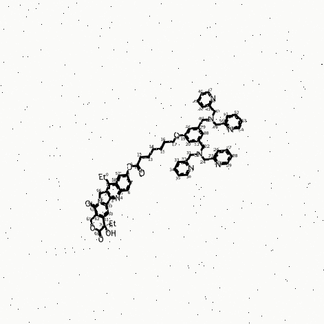 CCc1c2c(nc3ccc(OC(=O)CCCCCCOc4cc(CN(Cc5ccccn5)Cc5ccccn5)cc(CN(Cc5ccccn5)Cc5ccccn5)c4)cc13)-c1cc3c(c(=O)n1C2)COC(=O)[C@@]3(O)CC